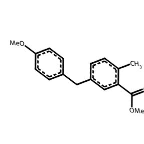 COC(=O)c1cc(Cc2ccc(OC)cc2)ccc1C